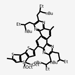 CCCCCCCC[Si]1(CCCCCCCC)c2cc(C)sc2-c2sc(-c3cc4c(cc(C)c5nc(CC(CC)CCCC)c(CC(CC)CCCC)nc54)c4nc(CC(CC)CCCC)c(CC(CC)CCCC)nc34)cc21